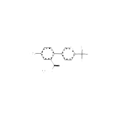 CCC(F)(F)c1ccc(-c2ccc([N+](=O)[O-])cc2C(=O)OC)cn1